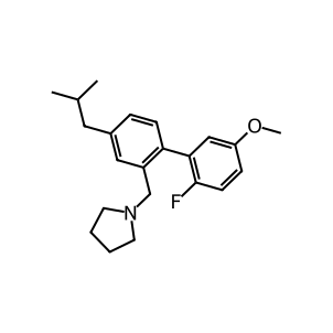 COc1ccc(F)c(-c2ccc(CC(C)C)cc2CN2CCCC2)c1